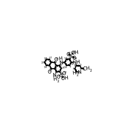 C=C/C=C(\C=C/N)Nc1ccc(Nc2cc(S(=O)(=O)O)c(N)c3c2C(=O)c2ccccc2C3=O)cc1S(=O)(=O)O